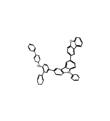 C1=CC(c2cc(-c3ccc4c(c3)c3cc(-c5ccc6oc7ccccc7c6c5)ccc3n4-c3ccccc3)ccc2NC2C=CC(c3ccccc3)=CC2)=CCC1